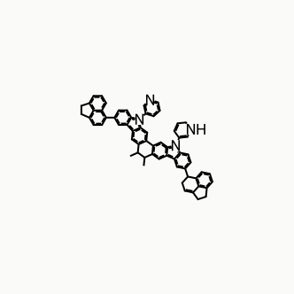 CC1c2cc3c4cc(C5CC=C6CCc7cccc5c76)ccc4n(C4=CNCC=C4)c3cc2-c2cc3c(cc2C1C)c1cc(-c2ccc4c5c(cccc25)CC4)ccc1n3-c1cccnc1